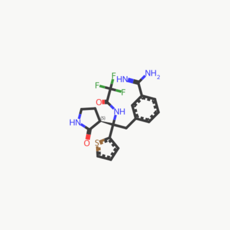 N=C(N)c1cccc(CC(NC(=O)C(F)(F)F)(c2cccs2)[C@@H]2CCNC2=O)c1